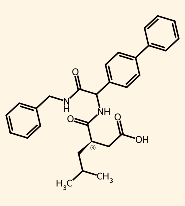 CC(C)C[C@H](CC(=O)O)C(=O)NC(C(=O)NCc1ccccc1)c1ccc(-c2ccccc2)cc1